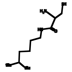 CC(C)(C)C(CCCCNC(=O)C(N)CS)C(C)(C)C